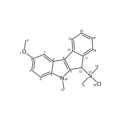 COc1ccc2c(c1)c1c(n2C)C([Si](C)(C)Cl)c2ccccc2-1